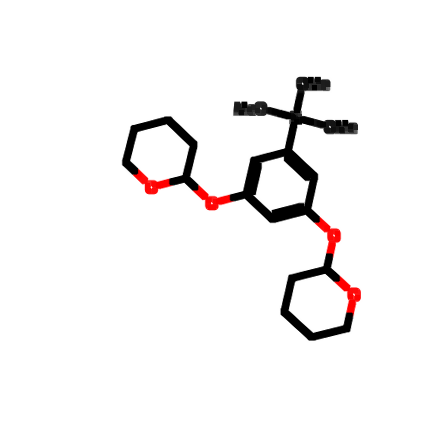 CO[Si](OC)(OC)c1cc(OC2CCCCO2)cc(OC2CCCCO2)c1